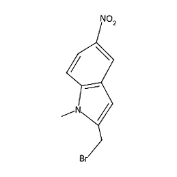 Cn1c(CBr)cc2cc([N+](=O)[O-])ccc21